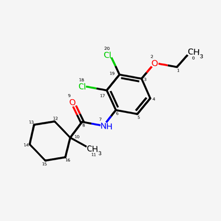 CCOc1ccc(NC(=O)C2(C)CCCCC2)c(Cl)c1Cl